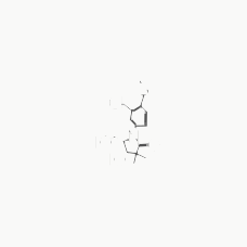 CC1(C)C(=O)N(c2ccc(C#N)c(Cl)c2)[C@H](CO)[C@@H]1O